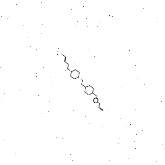 C=CCOCC1CCC(CC[C@H]2CC[C@H](CC/C=C/C)CC2)CC1